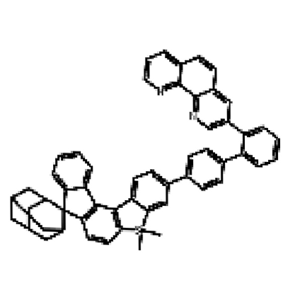 C[Si]1(C)c2cc(-c3ccc(-c4ccccc4-c4cnc5c(ccc6cccnc65)c4)cc3)ccc2-c2c1ccc1c2-c2ccccc2C12C1CC3CC(C1)CC2C3